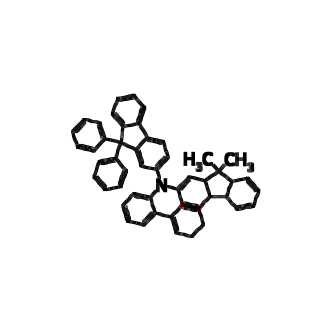 CC1(C)C2C=CC=CC2C2C=CC(N(c3ccc4c(c3)C(c3ccccc3)(c3ccccc3)c3ccccc3-4)c3ccccc3C3=CCCC=C3)=CC21